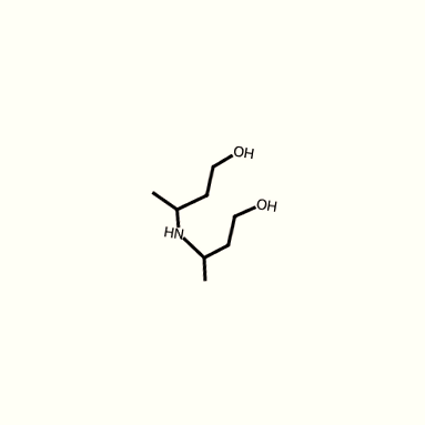 CC(CCO)NC(C)CCO